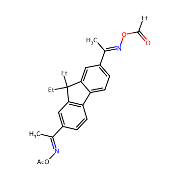 CCC(=O)O/N=C(\C)c1ccc2c(c1)C(CC)(CC)c1cc(/C(C)=N/OC(C)=O)ccc1-2